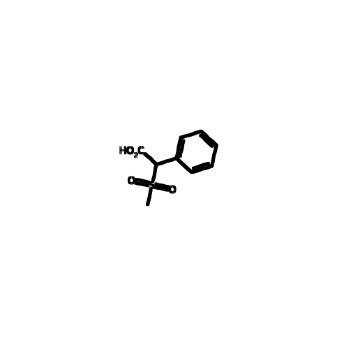 CS(=O)(=O)C(C(=O)O)c1ccccc1